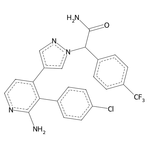 NC(=O)C(c1ccc(C(F)(F)F)cc1)n1cc(-c2ccnc(N)c2-c2ccc(Cl)cc2)cn1